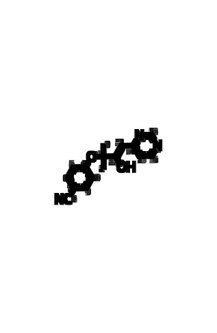 CC(C)(Oc1ccc(C#N)cc1)/C(O)=C/c1ccncn1